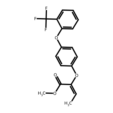 CC=C(Oc1ccc(Oc2ccccc2C(F)(F)F)cc1)C(=O)OC